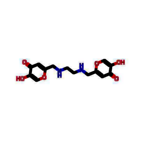 O=c1cc(CNCCNCc2cc(=O)c(O)co2)occ1O